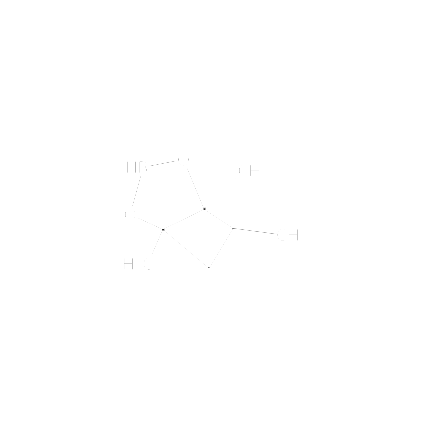 CC1CC2(C)OBOC12C